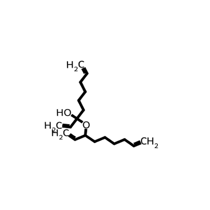 C=CCCCCC(C=C)OC(O)(C=C)CCCCC=C